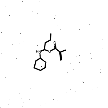 C=C(C)C(=O)OC(CCC)NC1CCCCC1